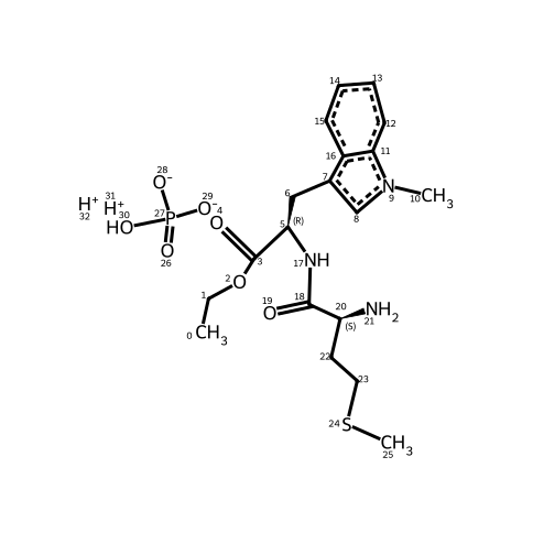 CCOC(=O)[C@@H](Cc1cn(C)c2ccccc12)NC(=O)[C@@H](N)CCSC.O=P([O-])([O-])O.[H+].[H+]